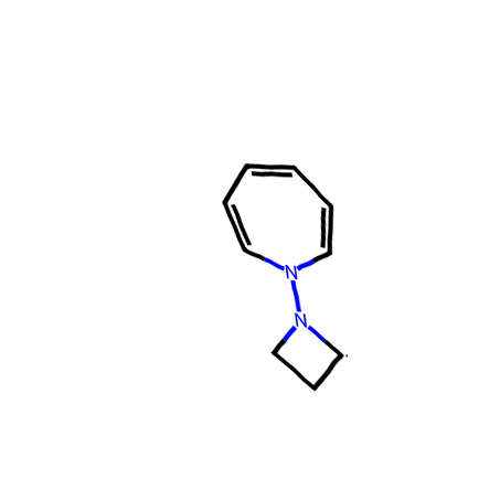 [CH]1CCN1N1C=CC=CC=C1